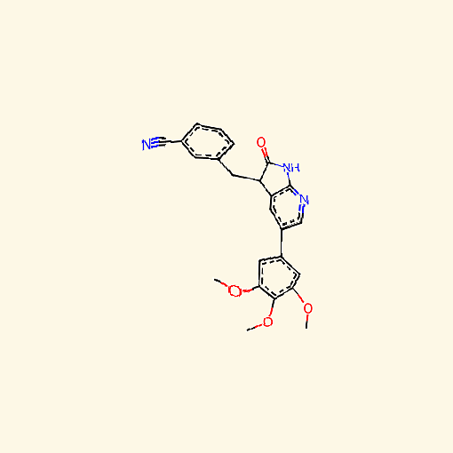 COc1cc(-c2cnc3c(c2)C(Cc2cccc(C#N)c2)C(=O)N3)cc(OC)c1OC